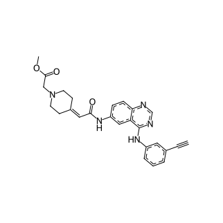 C#Cc1cccc(Nc2ncnc3ccc(NC(=O)C=C4CCN(CC(=O)OC)CC4)cc23)c1